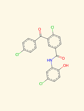 O=C(Nc1cc(Cl)ccc1O)c1ccc(Cl)c(C(=O)c2ccc(Cl)cc2)c1